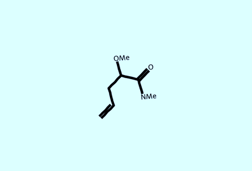 C=CCC(OC)C(=O)NC